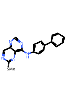 CSc1ncc2ncnc(Nc3ccc(-c4ccccc4)cc3)c2n1